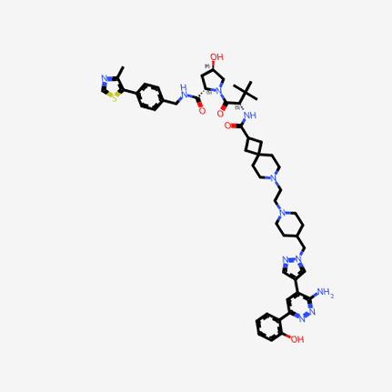 Cc1ncsc1-c1ccc(CNC(=O)[C@@H]2C[C@@H](O)CN2C(=O)[C@@H](NC(=O)C2CC3(CCN(CCN4CCC(Cn5cc(-c6cc(-c7ccccc7O)nnc6N)cn5)CC4)CC3)C2)C(C)(C)C)cc1